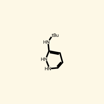 CC(C)(C)NC1=CC=CNN1